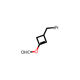 CC(C)CC1C=C(OC=O)C1